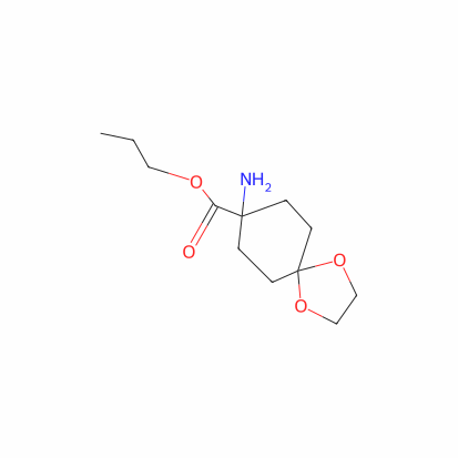 CCCOC(=O)C1(N)CCC2(CC1)OCCO2